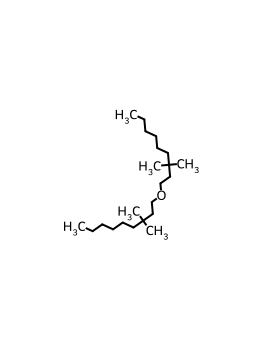 CCCCCCC(C)(C)CCOCCC(C)(C)CCCCCC